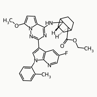 CCOC(=O)[C@@H]1C2CCC(CC2)[C@H]1Nc1nc(-c2cn(-c3ccccc3C)c3ncc(F)cc23)nn2c(OC)ccc12